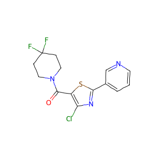 O=C(c1sc(-c2cccnc2)nc1Cl)N1CCC(F)(F)CC1